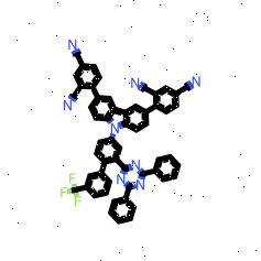 N#Cc1ccc(-c2ccc3c(c2)c2cc(-c4ccc(C#N)cc4C#N)ccc2n3-c2ccc(-c3cccc(C(F)(F)F)c3)c(-c3nc(-c4ccccc4)nc(-c4ccccc4)n3)c2)c(C#N)c1